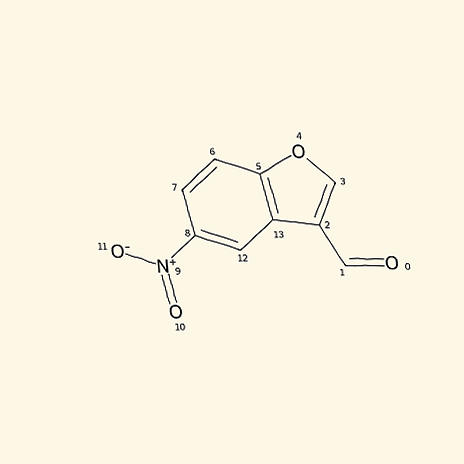 O=Cc1coc2ccc([N+](=O)[O-])cc12